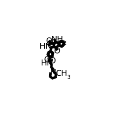 CC1CCCCN1CCCNS(=O)(=O)c1ccc(C2=C3C(=O)c4ccccc4C(N)=C3C(=O)N2)cc1